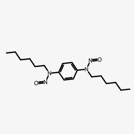 CCCCCCN(N=O)c1ccc(N(CCCCCC)N=O)cc1